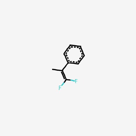 CC(=C(F)F)c1ccccc1